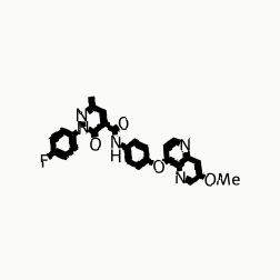 COc1cnc2c(Oc3ccc(NC(=O)c4cc(C)nn(-c5ccc(F)cc5)c4=O)cc3)ccnc2c1